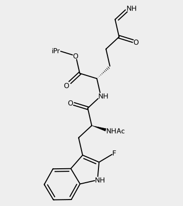 CC(=O)N[C@@H](Cc1c(F)[nH]c2ccccc12)C(=O)N[C@@H](CCC(=O)C=N)C(=O)OC(C)C